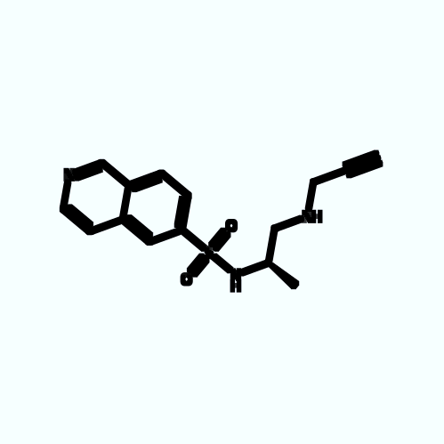 C#CCNC[C@@H](C)NS(=O)(=O)c1ccc2cnccc2c1